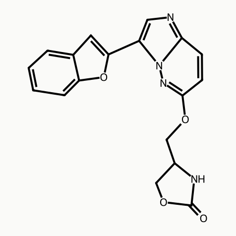 O=C1NC(COc2ccc3ncc(-c4cc5ccccc5o4)n3n2)CO1